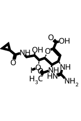 CC(=O)N[C@H]1[C@H]([C@H](OI)[C@H](O)CNC(=O)C2CC2)OC(C(=O)O)=C[C@@H]1NC(=N)N